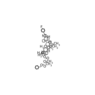 C=C(C)C1CC[C@]2(C(=O)N3CCCC3c3nc(-c4ccc(F)cc4)c[nH]3)CC[C@]3(C)[C@H](CC[C@@H]4[C@@]5(C)CC[C@H](OC(=O)[C@H]6C[C@@H](C(=O)OCc7ccccc7)C6(C)C)C(C)(C)[C@@H]5CC[C@]43C)[C@@H]12